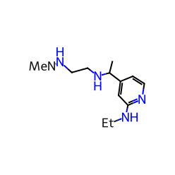 CCNc1cc(C(C)NCCNNC)ccn1